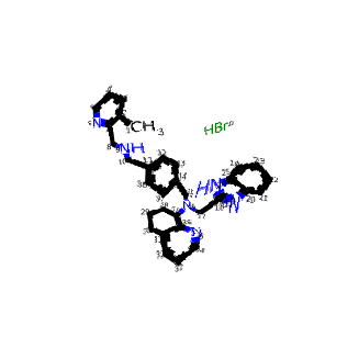 Br.Cc1cccnc1CNCc1ccc(CN(Cc2nc3ccccc3[nH]2)C2CCCc3cccnc32)cc1